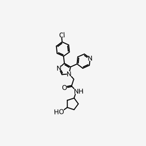 O=C(Cn1cnc(-c2ccc(Cl)cc2)c1-c1ccncc1)NC1CCC(O)C1